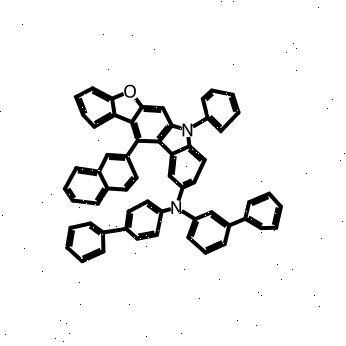 c1ccc(-c2ccc(N(c3cccc(-c4ccccc4)c3)c3ccc4c(c3)c3c(-c5ccc6ccccc6c5)c5c(cc3n4-c3ccccc3)oc3ccccc35)cc2)cc1